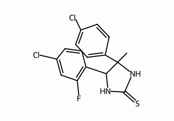 CC1(c2ccc(Cl)cc2)NC(=S)NC1c1ccc(Cl)cc1F